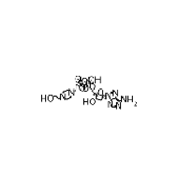 Nc1ncnc2c1ncn2[C@H]1CC(O)[C@@H](COP(=O)(O)OS(=O)(=O)CCN2CCN(CCO)CC2)O1